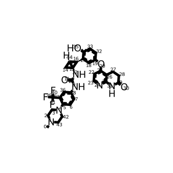 CN1CCN(c2ccc(NC(=O)N[C@@]34C[C@H]3[C@H]4c3cc(Oc4ccnc5c4CCC(=O)N5)ccc3O)cc2C(F)(F)F)CC1